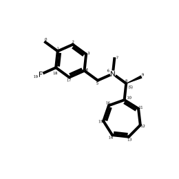 Cc1ccc(CN(C)[C@@H](C)C2=CCC=CC=C2)cc1F